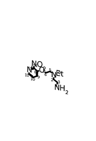 CCN(CCN)CCOc1cccnc1[N+](=O)[O-]